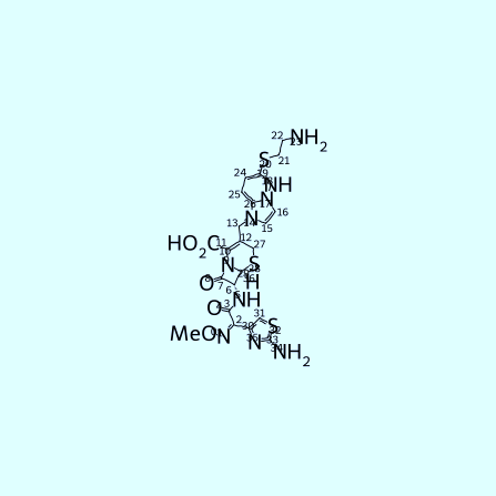 CO/N=C(\C(=O)N[C@@H]1C(=O)N2C(C(=O)O)=C(CN3C=CN4NC(SCCN)=CC=C34)CS[C@@H]12)c1csc(N)n1